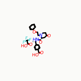 C[C@H](NC(=O)[C@H]1CC(=O)CCN1CCOc1ccccc1)c1ccc(C(=O)O)cc1.O=C(O)C(F)(F)F